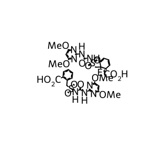 CCC1(CS(=O)(=O)NC(=O)Nc2nc(OC)cc(OC)n2)C=CC=CC1C(=O)O.COc1cc(OC)nc(NC(=O)NS(=O)(=O)Cc2ccccc2C(=O)O)n1